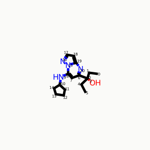 CCC(O)(CC)c1cc(NC2CCCC2)n2nccc2n1